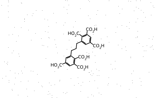 O=C(O)c1cc(CCCc2cc(C(=O)O)cc(C(=O)O)c2C(=O)O)c(C(=O)O)c(C(=O)O)c1